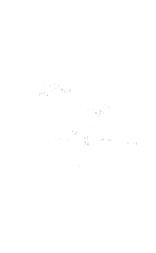 CCOC(=O)NC(=N)c1ccc(NC(=O)c2cc(F)ccc2NCc2cc(CO)cc(OC(C)C)c2CCC(=O)O)cc1